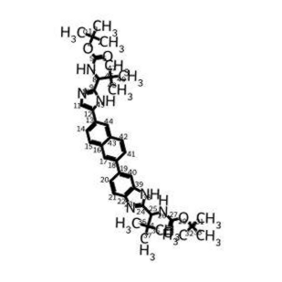 CC(C)(C)OC(=O)NC(c1ncc(-c2ccc3cc(-c4ccc5nc(C(NC(=O)OC(C)(C)C)C(C)(C)C)[nH]c5c4)ccc3c2)[nH]1)C(C)(C)C